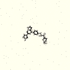 Cn1cc(-c2cn3nccc3c(-c3ccc(CNC(=O)c4ccn(C(C)(C)C)n4)cc3)n2)cn1